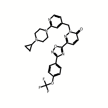 O=c1ccc(-c2nc(-c3ccc(OC(F)(F)F)cc3)no2)nn1Cc1ccnc(N2CCN(C3CC3)CC2)c1